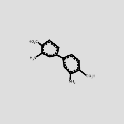 Nc1cc(-c2ccc(C(=O)O)c(N)c2)ccc1C(=O)O